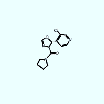 O=C([C@H]1N=CO[C@@H]1c1ccncc1Cl)N1CCCC1